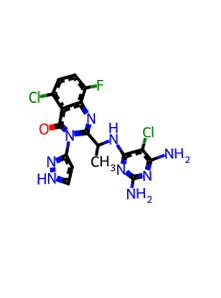 CC(Nc1nc(N)nc(N)c1Cl)c1nc2c(F)ccc(Cl)c2c(=O)n1-c1cc[nH]n1